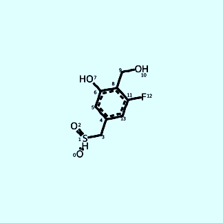 O=[SH](=O)Cc1cc(O)c(CO)c(F)c1